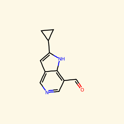 O=Cc1cncc2cc(C3CC3)[nH]c12